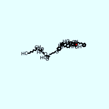 C#CCCCCCC(C)OCC(=O)NCCO[C@@H](O)[C@H](CCCCCOc1ccc(-n2ncc3c2C=C2CC[C@@H]4[C@H]([C@@H](O)C[C@@]5(C)[C@H]4C[C@H]4OC(CCCc6ccccc6)O[C@]45C(=O)CO)[C@@]2(C)C3)cc1)P=O